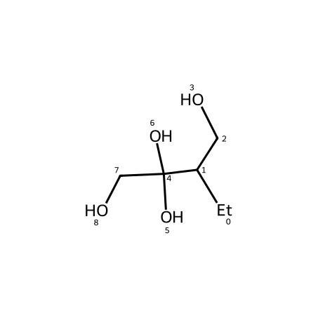 CCC(CO)C(O)(O)CO